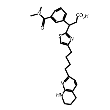 CN(C)C(=O)c1cccc(C(CC(=O)O)c2nc(CCCCc3ccc4c(n3)NCCC4)cs2)c1